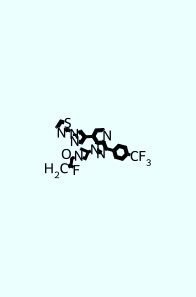 C=C(F)C(=O)N1CC(n2nc(-c3ccc(C(F)(F)F)cc3)c3nccc(-c4cnn(-c5nccs5)c4)c32)C1